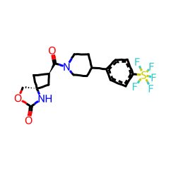 O=C1N[C@]2(CO1)C[C@H](C(=O)N1CCC(c3ccc(S(F)(F)(F)(F)F)cc3)CC1)C2